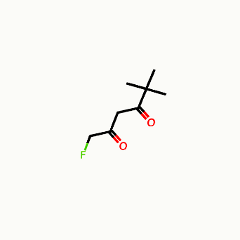 CC(C)(C)C(=O)CC(=O)CF